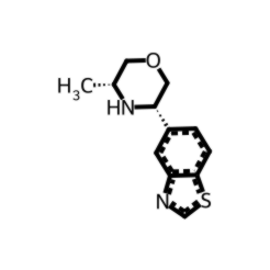 C[C@@H]1COC[C@H](c2ccc3scnc3c2)N1